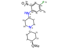 CO[C@H]1CC[C@H](N2CCC(Nc3cc(C)c(F)cc3[N+](=O)[O-])CC2)CC1